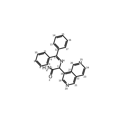 NC(=O)C(N=C(c1ccccc1)c1ccccc1)c1cncc2ccncc12